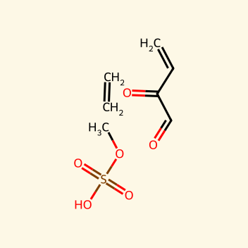 C=C.C=CC(=O)C=O.COS(=O)(=O)O